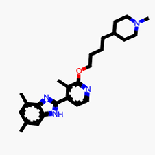 Cc1cc(C)c2nc(-c3ccnc(OCCCCC4CCN(C)CC4)c3C)[nH]c2c1